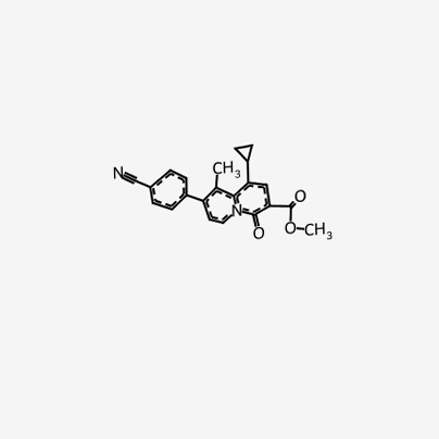 COC(=O)c1cc(C2CC2)c2c(C)c(-c3ccc(C#N)cc3)ccn2c1=O